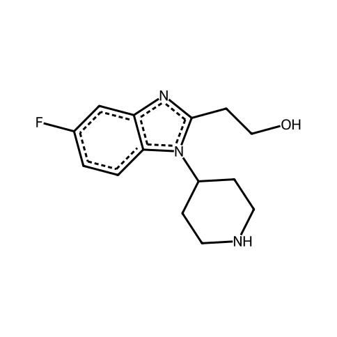 OCCc1nc2cc(F)ccc2n1C1CCNCC1